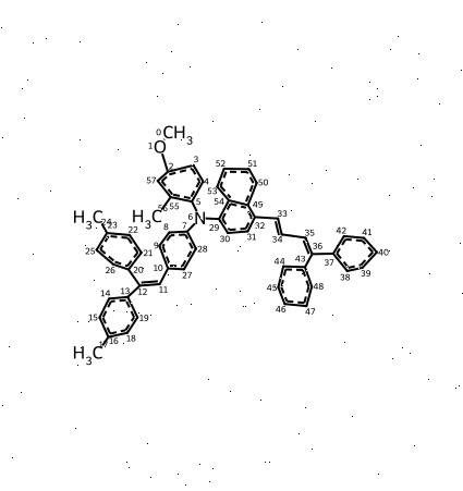 COc1ccc(N(c2ccc(C=C(c3ccc(C)cc3)c3ccc(C)cc3)cc2)c2ccc(/C=C/C=C(c3ccccc3)c3ccccc3)c3ccccc23)c(C)c1